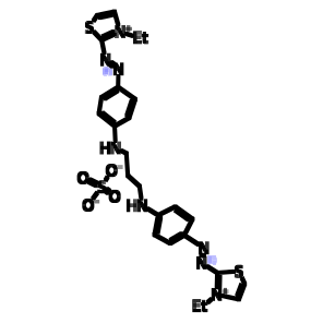 CC[n+]1ccsc1/N=N/c1ccc(NCCCNc2ccc(/N=N/c3scc[n+]3CC)cc2)cc1.O=S(=O)([O-])[O-]